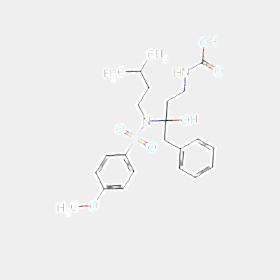 COc1ccc(S(=O)(=O)N(CCC(C)C)C(O)(CCNC(=O)O)Cc2ccccc2)cc1